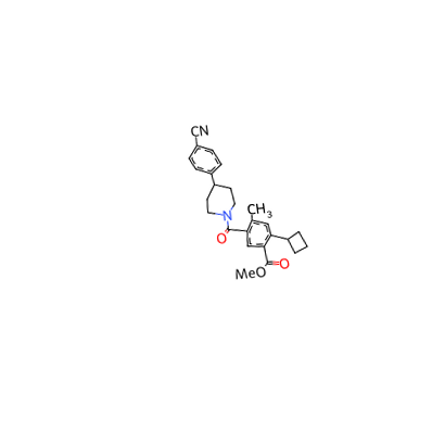 COC(=O)c1cc(C(=O)N2CCC(c3ccc(C#N)cc3)CC2)c(C)cc1C1CCC1